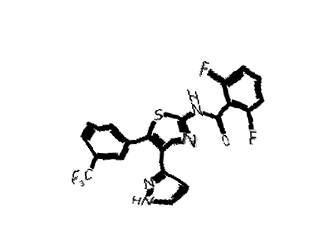 O=C(Nc1nc(-c2cc[nH]n2)c(-c2cccc(C(F)(F)F)c2)s1)c1c(F)cccc1F